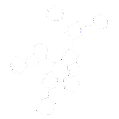 c1ccc(-c2ccc(N(c3cccc4c3sc3ccccc34)c3cc(-c4nc(-c5ccccc5)nc(-c5ccccc5)n4)cc4oc5ccccc5c34)cc2)cc1